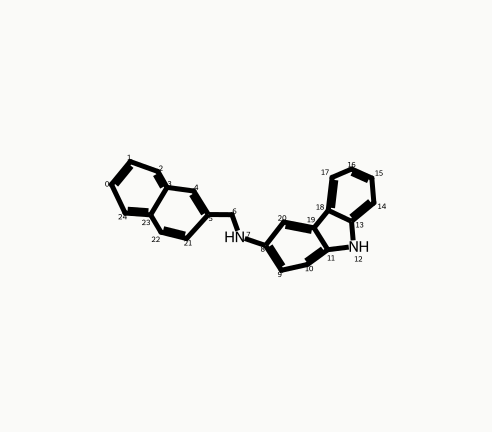 c1ccc2cc(CNc3ccc4[nH]c5ccccc5c4c3)ccc2c1